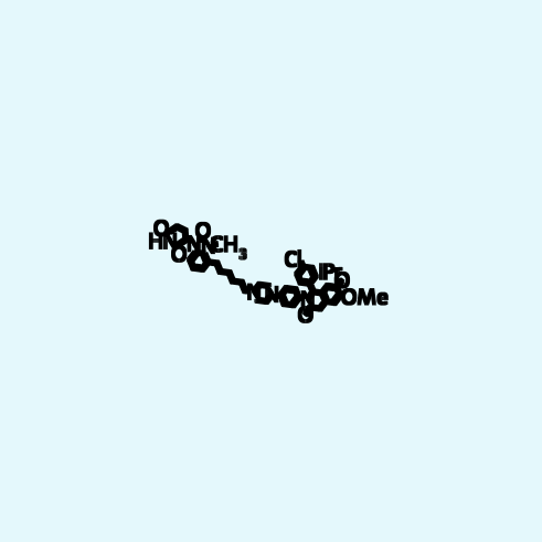 COc1cc2c(cc1OC(C)C)C(c1ccc(Cl)cc1)N(c1ccc(N3CCN(CCCCCCc4cccc5c4n(C)c(=O)n5C4CCC(=O)NC4=O)CC3)cc1)C(=O)C2